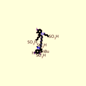 CCCCC(C(=O)O)C1(C)/C(=C/C=C/C=C/C=C/C2=[N+](CCCCS(=O)(=O)O)c3ccc(I)c(C)c3C2(C)CCCCS(=O)(=O)O)N(CS(=O)(=O)O)c2cc(I)c(S(=O)(=O)O)c(I)c21